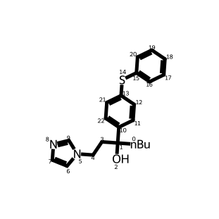 CCCCC(O)(CCn1ccnc1)c1ccc(Sc2ccccc2)cc1